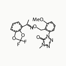 COc1cccc(-n2nnn(C)c2=O)c1CON=C(C)c1cccc2c1OC(F)(F)O2